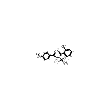 CC(C)(C)N(NC(=O)c1ccc(SCl)cc1)C(=O)c1ccccc1Cl